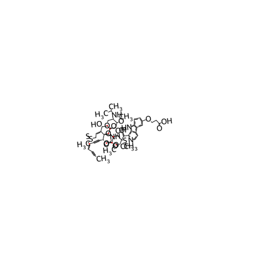 CC#C/C=C\C#C[C@H](OC1OC(C)C(SC)(C(=O)c2nccc3c2[nH]c2ccc(OCCC(=O)O)cc23)C(O)C1OC1CC(OC)C(NC(C)C)CO1)C1=C(NC(=O)OC)C(=O)C[C@H](O)/C1=C/CS(C)=S